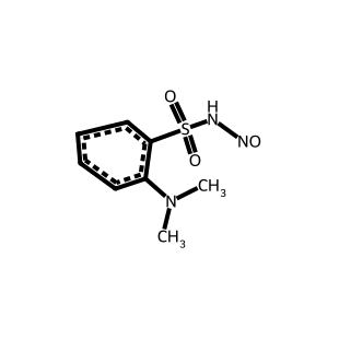 CN(C)c1ccccc1S(=O)(=O)NN=O